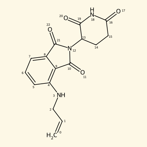 C=CCNc1cccc2c1C(=O)N(C1CCC(=O)NC1=O)C2=O